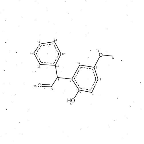 COc1ccc(O)c(C(C=O)c2ccccc2)c1